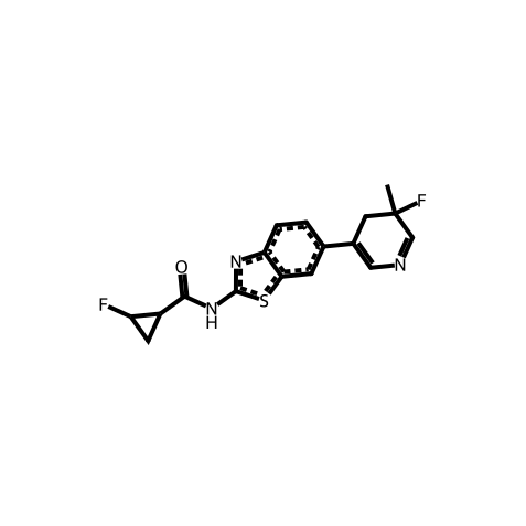 CC1(F)C=NC=C(c2ccc3nc(NC(=O)C4CC4F)sc3c2)C1